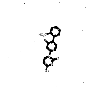 CCCCc1ccn(-c2ccc(-c3ccccc3C(=O)O)c(C)c2)c(=O)n1